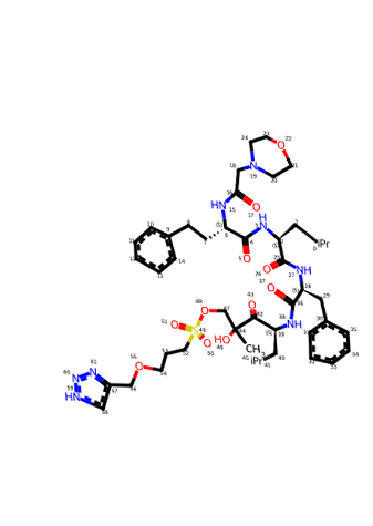 CC(C)C[C@H](NC(=O)[C@H](CCc1ccccc1)NC(=O)CN1CCOCC1)C(=O)N[C@@H](Cc1ccccc1)C(=O)N[C@@H](CC(C)C)C(=O)C(C)(O)COS(=O)(=O)CCCOCc1c[nH]nn1